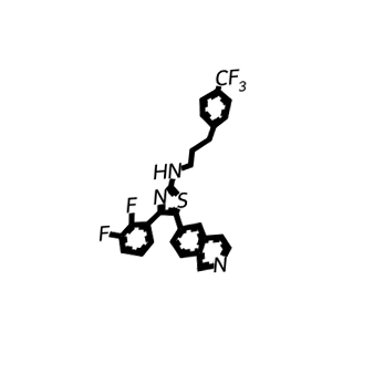 Fc1cccc(-c2nc(NCCCc3ccc(C(F)(F)F)cc3)sc2-c2ccc3cnccc3c2)c1F